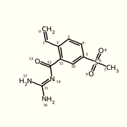 C=Cc1ccc(S(C)(=O)=O)cc1C(=O)N=C(N)N